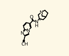 C#Cc1cn2cc(C(=O)N[C@@H]3CC4CCN(C4)C3)ccc2n1